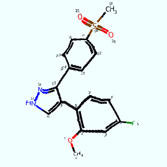 COc1cc(F)ccc1-c1c[nH]nc1-c1ccc(S(C)(=O)=O)cc1